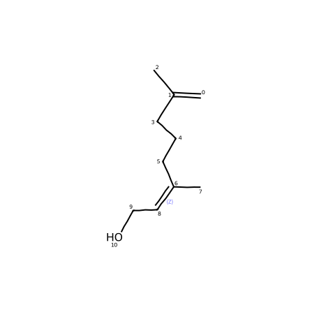 C=C(C)CCC/C(C)=C\CO